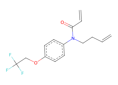 C=CCCN(C(=O)C=C)c1ccc(OCC(F)(F)F)cc1